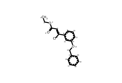 CCOC(=O)C=C(Cl)c1cccc(OCc2ccccc2)c1